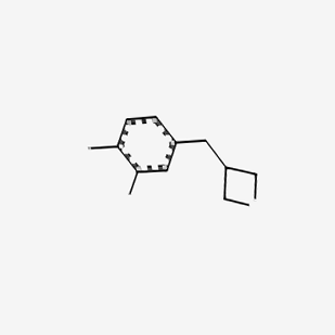 Clc1ccc(CC2CSC2)cc1Cl